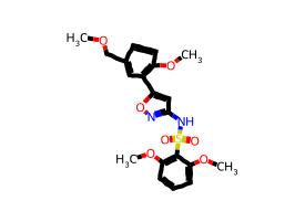 COCc1ccc(OC)c(-c2cc(NS(=O)(=O)c3c(OC)cccc3OC)no2)c1